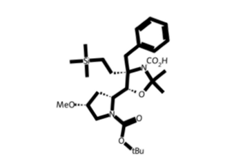 CO[C@@H]1C[C@H]([C@H]2OC(C)(C)N(C(=O)O)[C@]2(CC[Si](C)(C)C)Cc2ccccc2)N(C(=O)OC(C)(C)C)C1